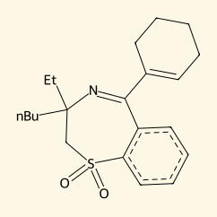 CCCCC1(CC)CS(=O)(=O)c2ccccc2C(C2=CCCCC2)=N1